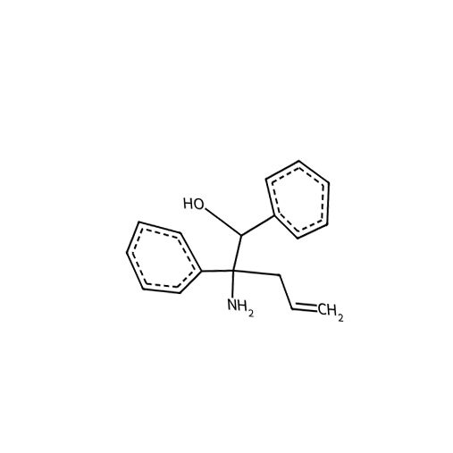 C=CCC(N)(c1ccccc1)C(O)c1ccccc1